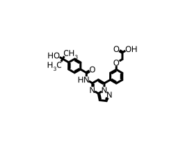 CC(C)(O)c1ccc(C(=O)Nc2cc(-c3cccc(OCC(=O)O)c3)n3nccc3n2)cc1